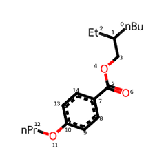 CCCCC(CC)COC(=O)c1ccc(OCCC)cc1